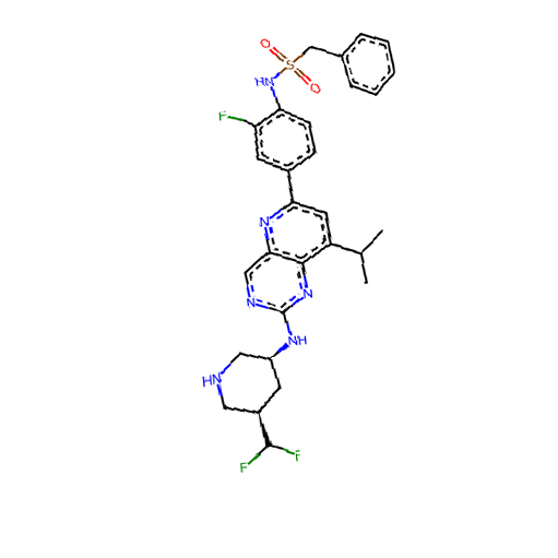 CC(C)c1cc(-c2ccc(NS(=O)(=O)Cc3ccccc3)c(F)c2)nc2cnc(N[C@@H]3CNC[C@H](C(F)F)C3)nc12